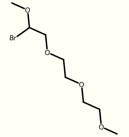 COCCOCCOCC(Br)OC